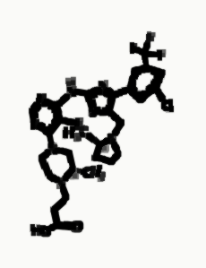 C[C@@H]1CCCN1Cc1sc(Nc2ncnc(N3CCN(CCC(=O)O)[C@@H](C)C3)c2F)nc1-c1cc(Cl)cc(C(F)(F)F)c1